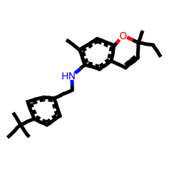 CCC1(C)C=Cc2cc(NCc3ccc(C(C)(C)C)cc3)c(C)cc2O1